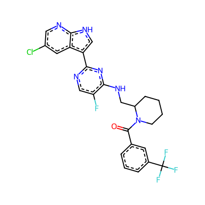 O=C(c1cccc(C(F)(F)F)c1)N1CCCCC1CNc1nc(-c2c[nH]c3ncc(Cl)cc23)ncc1F